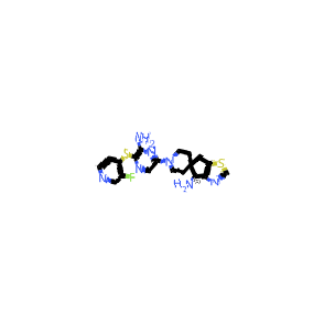 Nc1nc(N2CCC3(CC2)Cc2scnc2[C@H]3N)cnc1Sc1ccncc1F